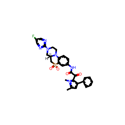 Cc1cc(-c2ccccc2)c(C(=O)C(=O)Nc2ccc3c(c2)S(=O)(=O)C[C@@H]2CN(c4ncc(F)cn4)CCN32)n1C